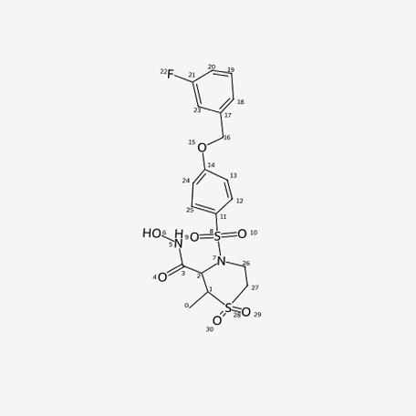 CC1C(C(=O)NO)N(S(=O)(=O)c2ccc(OCc3cccc(F)c3)cc2)CCS1(=O)=O